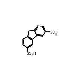 O=S(=O)(O)c1ccc2c(c1)-c1cc(S(=O)(=O)O)ccc1C2